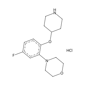 Cl.Fc1ccc(OC2CCNCC2)c(N2CCOCC2)c1